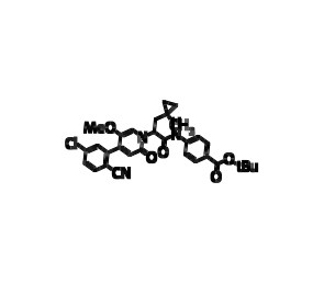 COc1cn(C(CC2(C)CC2)C(=O)Nc2ccc(C(=O)OC(C)(C)C)cc2)c(=O)cc1-c1cc(Cl)ccc1C#N